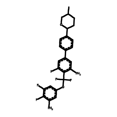 CC1CCC(c2ccc(-c3cc(F)c(C(F)(F)Oc4cc(F)c(F)c(P)c4)c(P)c3)cc2)OC1